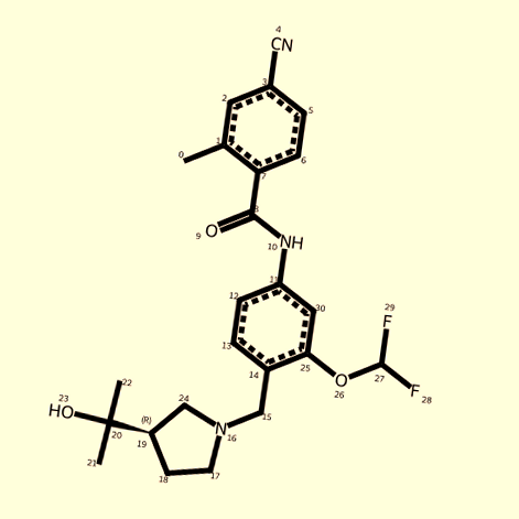 Cc1cc(C#N)ccc1C(=O)Nc1ccc(CN2CC[C@@H](C(C)(C)O)C2)c(OC(F)F)c1